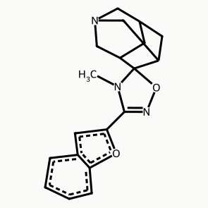 CN1C(c2cc3ccccc3o2)=NOC12C1CC3CC2CN(C3)C1